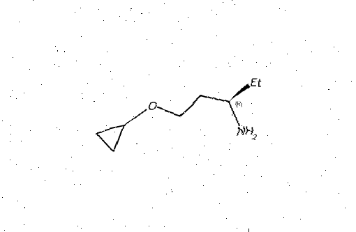 CC[C@@H](N)CCOC1CC1